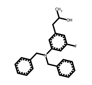 CC(O)Cc1cc(F)cc(N(Cc2ccccc2)Cc2ccccc2)c1